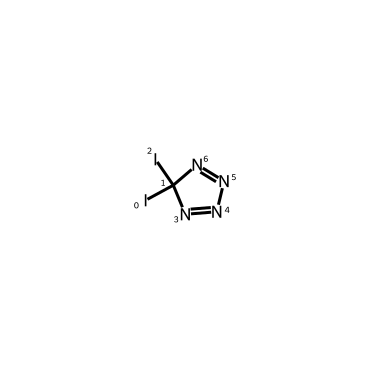 IC1(I)N=NN=N1